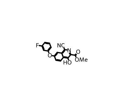 COC(=O)c1nc(C#N)c2cc(Oc3cccc(F)c3)ccc2c1O